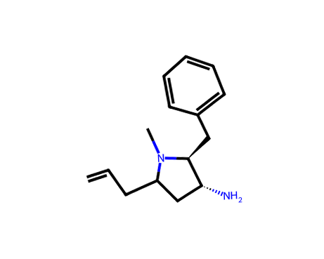 C=CCC1C[C@@H](N)[C@H](Cc2ccccc2)N1C